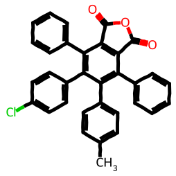 Cc1ccc(-c2c(-c3ccccc3)c3c(c(-c4ccccc4)c2-c2ccc(Cl)cc2)C(=O)OC3=O)cc1